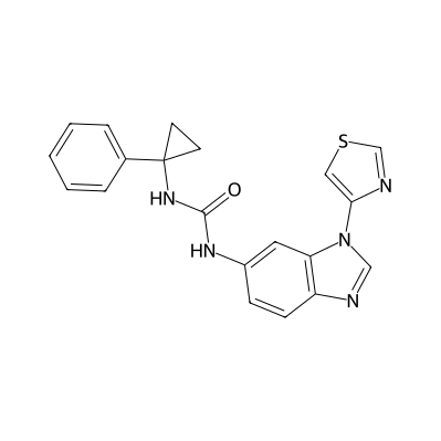 O=C(Nc1ccc2ncn(-c3cscn3)c2c1)NC1(c2ccccc2)CC1